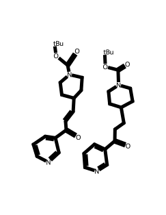 CC(C)(C)OC(=O)N1CCC(C=CC(=O)c2cccnc2)CC1.CC(C)(C)OC(=O)N1CCC(CCC(=O)c2cccnc2)CC1